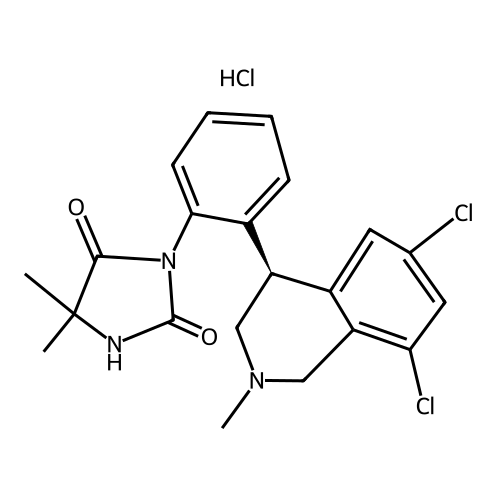 CN1Cc2c(Cl)cc(Cl)cc2[C@H](c2ccccc2N2C(=O)NC(C)(C)C2=O)C1.Cl